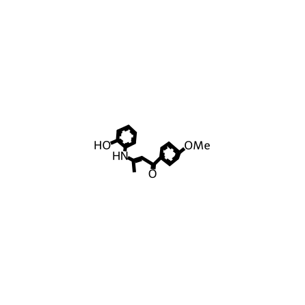 COc1ccc(C(=O)/C=C(\C)Nc2ccccc2O)cc1